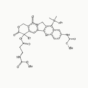 CCC[Si](C)(C)c1c2c(nc3ccc(NC(=O)OC(C)(C)C)cc13)-c1cc3c(c(=O)n1C2)COC(=O)C3(CC)OC(=O)CCNC(=O)OC(C)(C)C